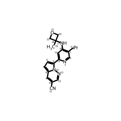 CC(C)c1cnc(-c2ccc3cc(C#N)cnn23)cc1NC1(C)COC1